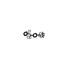 CC1(C)OB(c2ccc(C(=O)Nc3ccccc3Cl)cc2)OC1(C)C